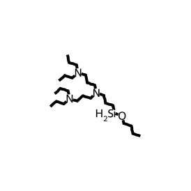 CCCCO[SiH2]CCCN(CCCN(CCC)CCC)CCCN(CCC)CCC